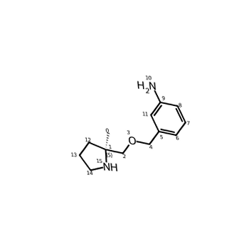 C[C@@]1(COCc2cccc(N)c2)CCCN1